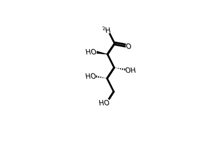 [2H]C(=O)[C@H](O)[C@H](O)[C@@H](O)CO